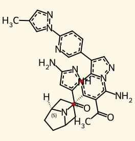 CC(=O)c1c([C@@H]2CC3CC[C@@H](C2)N3C(=O)c2cc(N)n[nH]2)nc2c(-c3ccc(-n4cc(C)cn4)nc3)cnn2c1N